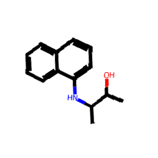 CC(O)C(C)Nc1cccc2ccccc12